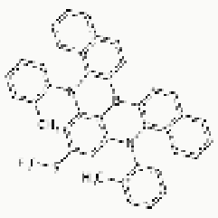 Cc1ccccc1N1c2cc(SC(F)(F)F)cc3c2B(c2ccc4ccccc4c21)c1ccc2ccccc2c1N3c1ccccc1C